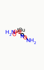 CC(C)(C)C(COC(N)=O)OCc1ccc(COCCN)nc1